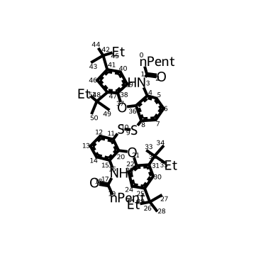 CCCCCC(=O)Nc1cccc(SSc2cccc(NC(=O)CCCCC)c2Oc2ccc(C(C)(C)CC)cc2C(C)(C)CC)c1Oc1ccc(C(C)(C)CC)cc1C(C)(C)CC